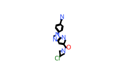 N#Cc1ccc(-n2cnc3cc(C(=O)N4CC(Cl)C4)cnc32)cc1